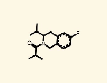 CC(C)C(=O)N1Cc2ccc(F)cc2CC1C(C)C